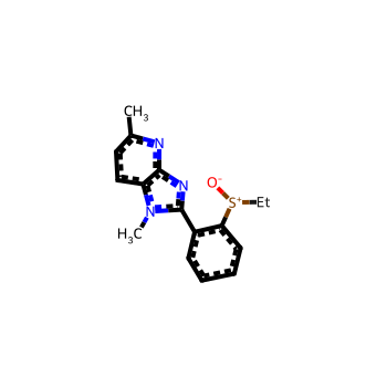 CC[S+]([O-])c1ccccc1-c1nc2nc(C)ccc2n1C